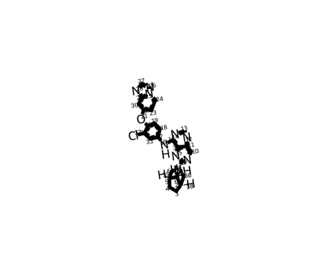 O[C@@H]1[C@@H]2CC[C@H]1CN(c1ncc3ncnc(Nc4ccc(Oc5ccn6ncnc6c5)c(Cl)c4)c3n1)C2